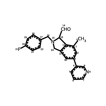 Cc1cc(-c2cccnc2)cc2c1C(C=O)N(Cc1ccc(F)cc1)C2